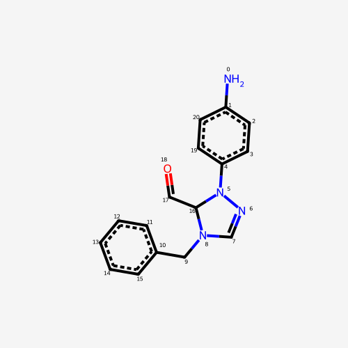 Nc1ccc(N2N=CN(Cc3ccccc3)C2C=O)cc1